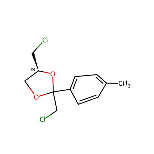 Cc1ccc(C2(CCl)OC[C@@H](CCl)O2)cc1